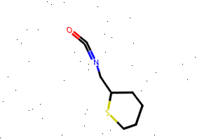 O=C=NCC1CCCCS1